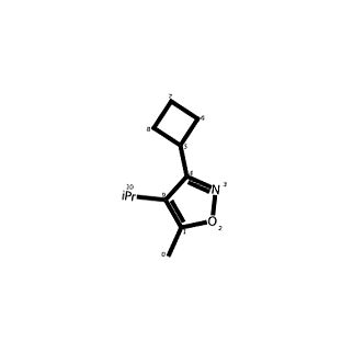 Cc1onc(C2CCC2)c1C(C)C